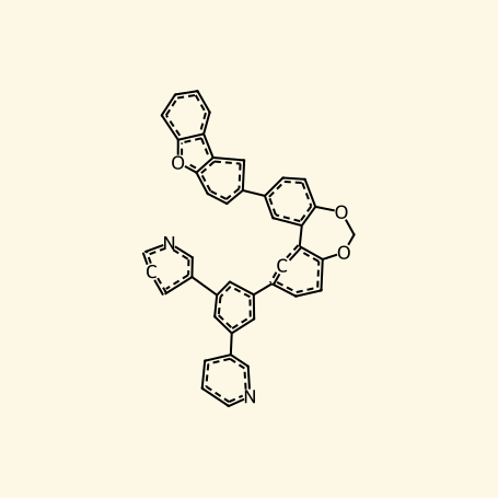 c1cncc(-c2cc(-c3cccnc3)cc(-c3ccc4c(c3)-c3cc(-c5ccc6oc7ccccc7c6c5)ccc3OCO4)c2)c1